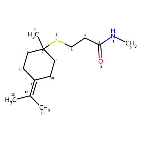 CNC(=O)CCSC1(C)CCC(=C(C)C)CC1